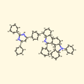 c1ccc(-c2cc(-c3ccc(-c4cccc5c4nc(-c4ccccc4)c4c5ccc5c4c4ccccc4n5-c4ccccc4)cc3)nc(-c3ccccc3)n2)cc1